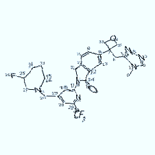 Cn1cnnc1CC1(c2ccc3c(c2)C(=O)N(c2cc(CN4CCCC(F)C4)cc(C(F)(F)F)n2)C3)COC1